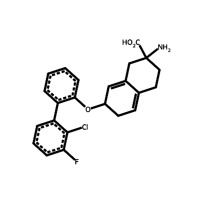 NC1(C(=O)O)CCC2=CCC(Oc3ccccc3-c3cccc(F)c3Cl)C=C2C1